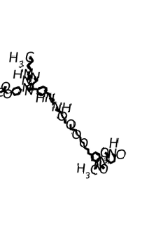 CCCCNc1ncc2c(-c3ccc(CNCCNCCOCCOCCOCCOCCCc4ccc5c(c4)n(C)c(=O)n5[C@H]4CCC(=O)NC4=O)cc3)nn([C@H]3CC[C@H](OC(C)=O)CC3)c2n1